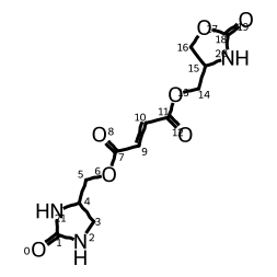 O=C1NCC(COC(=O)/C=C/C(=O)OCC2COC(=O)N2)N1